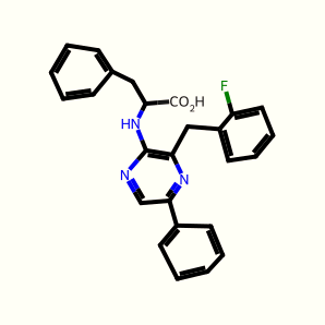 O=C(O)C(Cc1ccccc1)Nc1ncc(-c2ccccc2)nc1Cc1ccccc1F